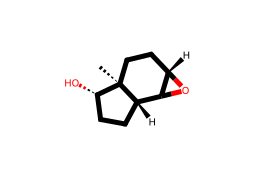 C[C@]12CC[C@@H]3OC3[C@@H]1CC[C@@H]2O